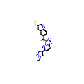 CCn1cc(-c2ccc3nnc([C@@H](C)c4ccc5ncc(SC)cc5c4)n3n2)cn1